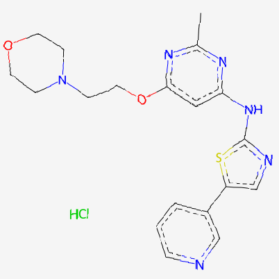 Cc1nc(Nc2ncc(-c3cccnc3)s2)cc(OCCN2CCOCC2)n1.Cl